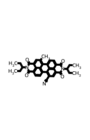 CCC(CC)N1C(=O)c2ccc3c4c(C#N)cc5c6c(ccc(c7c(C)cc(c2c37)C1=O)c64)C(=O)N(C(CC)CC)C5=O